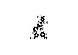 CC1(O)CC(O)(c2ncc(-c3ccc4nc5c(n4c3)[C@@H](c3cc(Cl)ccc3OC(F)F)C[C@H]5O)cn2)C1